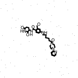 O=Cc1cc(NCCCCCC(=O)N2CCN(c3ccccn3)CC2)ccc1C(=O)NC1CCC(=O)NC1=O